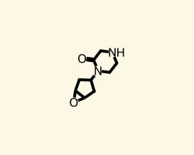 O=C1CNCCN1C1CC2OC2C1